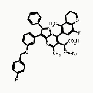 Cc1nc2c(-c3cccc(OCc4ccc(F)cc4)c3)c(-c3ccccc3)nn2c(-c2cc(F)c3c(c2C)CCCO3)c1C(OC(C)(C)C)C(=O)O